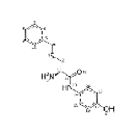 N[C@@H](CSCc1ccccc1)C(=O)Nc1ccc(O)cc1